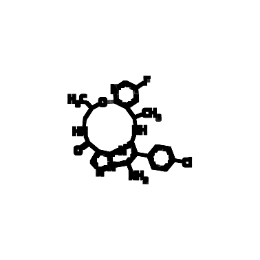 CC1CNC(=O)c2cnn3c(N)c(-c4ccc(Cl)cc4)c(nc23)NC(C)c2cc(F)cnc2O1